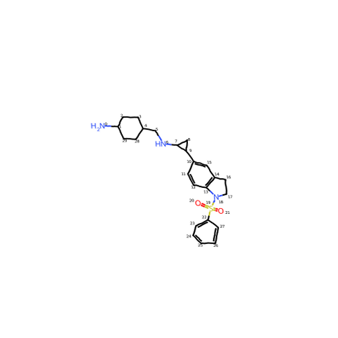 NC1CCC(CNC2CC2c2ccc3c(c2)CCN3S(=O)(=O)c2ccccc2)CC1